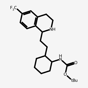 CC(C)(C)OC(=O)NC1CCCCC1CCC1NCCc2cc(C(F)(F)F)ccc21